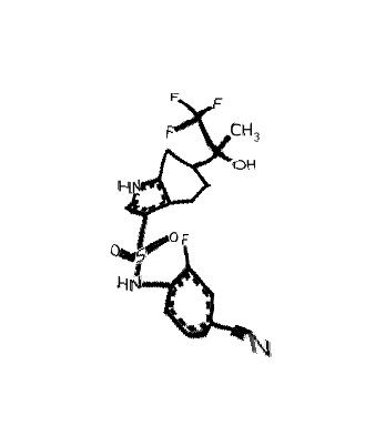 CC(O)(C1CCc2c(S(=O)(=O)Nc3ccc(C#N)cc3F)c[nH]c2C1)C(F)(F)F